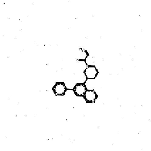 C=CC(=O)N1CCCC(c2cc(-c3cccnc3)cc3cncnc23)C1